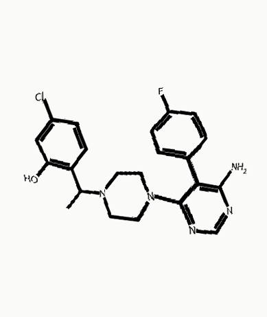 CC(c1ccc(Cl)cc1O)N1CCN(c2ncnc(N)c2-c2ccc(F)cc2)CC1